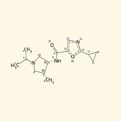 CC(C)N1C[C@@H](C)[C@@H](NC(=O)c2cnc(C3CC3)o2)C1